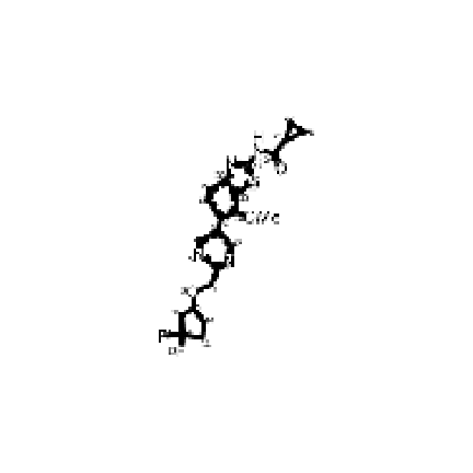 COc1c(-c2cnc(COC3CCC(F)(F)C3)nc2)ccc2nc(NC(=O)C3CC3)sc12